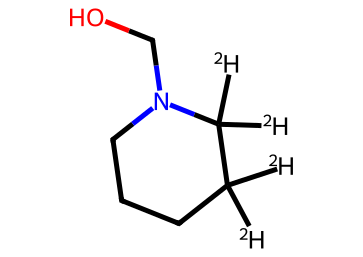 [2H]C1([2H])CCCN(CO)C1([2H])[2H]